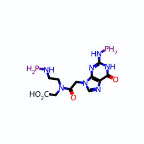 O=C(O)CN(CCNP)C(=O)Cn1cnc2c(=O)[nH]c(NP)nc21